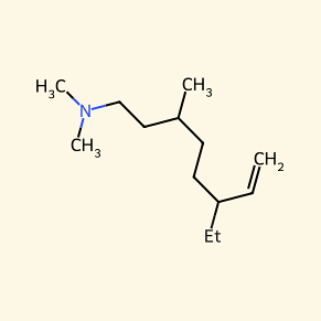 C=CC(CC)CCC(C)CCN(C)C